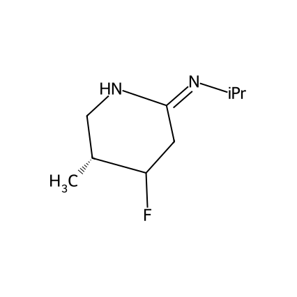 CC(C)/N=C1\CC(F)[C@H](C)CN1